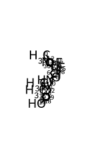 Cc1ccc(C(CC(=O)NCC(Cc2ccc(O)cc2)N(C)C)C2(C(F)(F)F)CC2)cn1